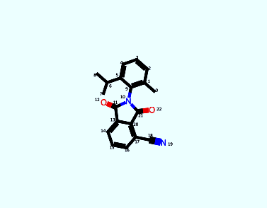 Cc1cccc(C(C)C)c1N1C(=O)c2cccc(C#N)c2C1=O